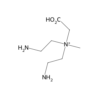 C[N+](CCN)(CCN)CC(=O)O